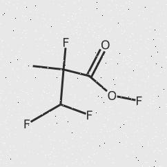 CC(F)(C(=O)OF)C(F)F